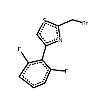 Fc1cccc(F)c1-c1csc(CBr)n1